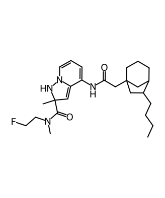 CCCCC1CC2(CC(=O)NC3=CC=CN4NC(C)(C(=O)N(C)CCF)C=C34)CCCC1C2